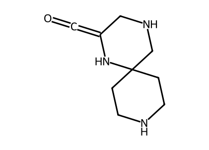 O=C=C1CNCC2(CCNCC2)N1